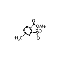 [CH2]c1ccc(C(=O)OC)c([SH](=O)=O)c1